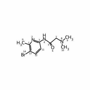 Cc1nc(NC(=O)CN(C)C)ccc1Br